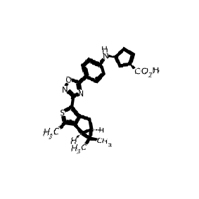 Cc1sc(-c2noc(-c3ccc(N[C@H]4CC[C@@H](C(=O)O)C4)cc3)n2)c2c1[C@H]1[C@@H](C2)C1(C)C